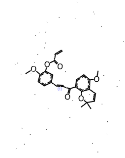 C=CC(=O)Oc1cc(/C=C/C(=O)c2ccc(OC)c3c2OC(C)(C)C=C3)ccc1OC